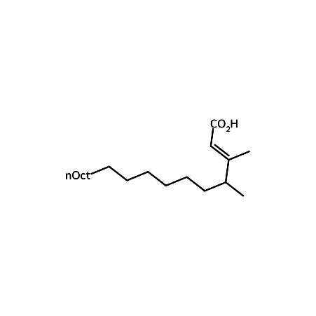 CCCCCCCCCCCCCCC(C)C(C)=CC(=O)O